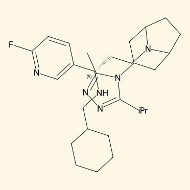 Cc1nnc(C(C)C)n1C1CC2CCC(C1)N2CC[C@H](NCC1CCCCC1)c1ccc(F)nc1